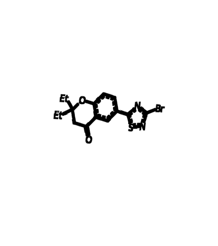 CCC1(CC)CC(=O)c2cc(-c3nc(Br)ns3)ccc2O1